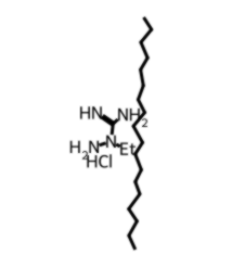 CCCCCCCCCCCCCCCCCC.CCN(N)C(=N)N.Cl